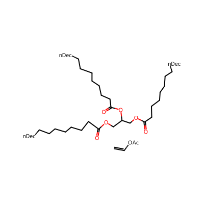 C=COC(C)=O.CCCCCCCCCCCCCCCCCC(=O)OCC(COC(=O)CCCCCCCCCCCCCCCCC)OC(=O)CCCCCCCCCCCCCCCCC